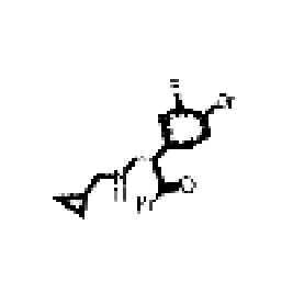 CC(C)C(=O)[C@H](CNCC1CC1)c1ccc(Br)c(F)c1